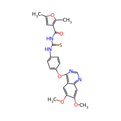 COc1cc2ncnc(Oc3ccc(NC(=S)NC(=O)c4cc(C)oc4C)cc3)c2cc1OC